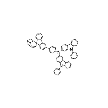 c1ccc(-n2c3ccccc3c3cc(N(c4ccc(-c5ccc6c(c5)-c5ccccc5C65C6CC7CC(C6)CC5C7)cc4)c4ccc5c6ccccc6n(-c6ccccc6)c5c4)ccc32)cc1